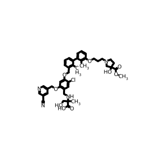 COC(=O)C1(O)CCN(CCCOc2cccc(-c3cccc(COc4cc(OCc5cncc(C#N)c5)c(CNC(C)(CO)C(=O)O)cc4Cl)c3C)c2C)C1